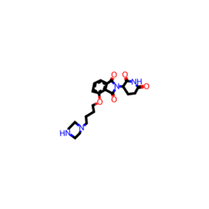 O=C1CCC(N2C(=O)c3cccc(OCCCCN4CCNCC4)c3C2=O)C(=O)N1